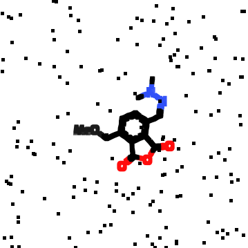 COCc1ccc(/C=N\N(C)C)c2c1C(=O)OC2=O